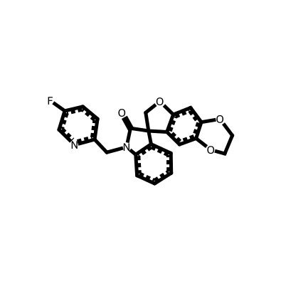 O=C1N(Cc2ccc(F)cn2)c2ccccc2C12COc1cc3c(cc12)OCCO3